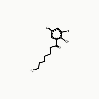 CCCCCCCC(=O)c1cc(Cl)cc(Cl)c1O